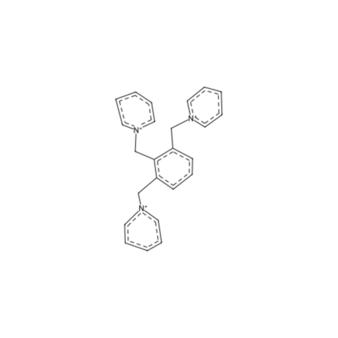 c1cc[n+](Cc2cccc(C[n+]3ccccc3)c2C[n+]2ccccc2)cc1